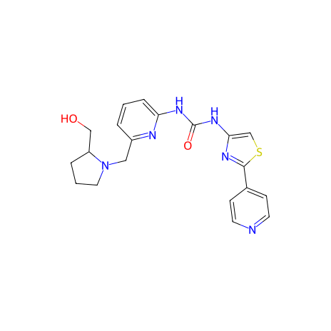 O=C(Nc1cccc(CN2CCCC2CO)n1)Nc1csc(-c2ccncc2)n1